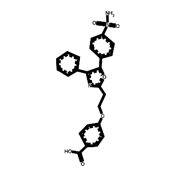 NS(=O)(=O)c1ccc(-c2oc(CCOc3ccc(C(=O)O)cc3)nc2-c2ccccc2)cc1